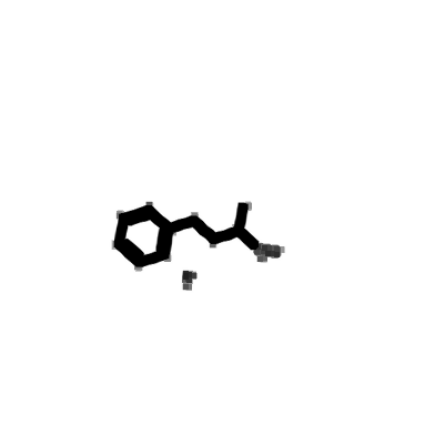 CC(CCc1ccccc1)C(=O)[O-].[K+]